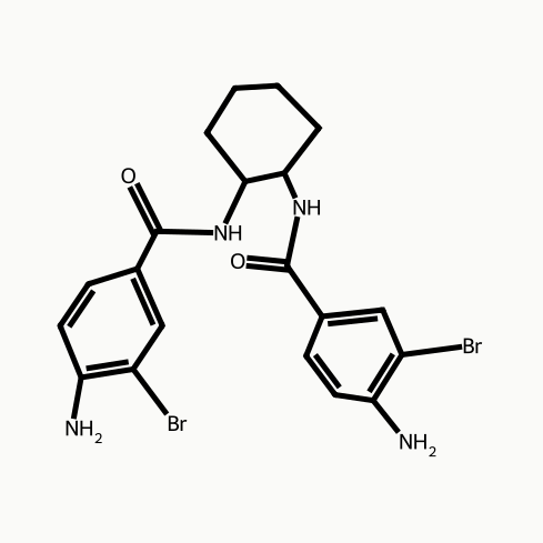 Nc1ccc(C(=O)NC2CCCCC2NC(=O)c2ccc(N)c(Br)c2)cc1Br